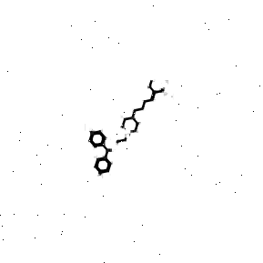 CC/C(=C\CCCC1CCN(CCOC(c2ccc(F)cc2)c2ccc(F)cc2)CC1)C(=O)O